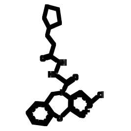 O=C(CCC1CCCC1)NNC(=O)N1Cc2ccccc2Oc2ccc(Cl)cc21